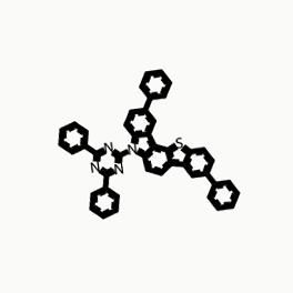 c1ccc(-c2ccc3sc4c(ccc5c4c4cc(-c6ccccc6)ccc4n5-c4nc(-c5ccccc5)nc(-c5ccccc5)n4)c3c2)cc1